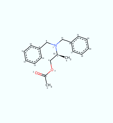 CC(=O)OC[C@H](C)N(Cc1ccccc1)Cc1ccccc1